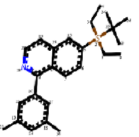 CCS(CC)(c1ccc2c(-c3cc(C)cc(C)c3)nccc2c1)C(C)(C)C